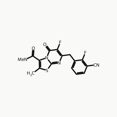 CNC(=O)c1c(C)sc2nc(Cc3cccc(C#N)c3F)c(F)c(=O)n12